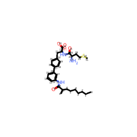 CCCCCCCC(C)C(=O)Nc1cccc(-c2ccc(CC(NC(=O)C(N)CCSC)C(=O)O)cc2)c1